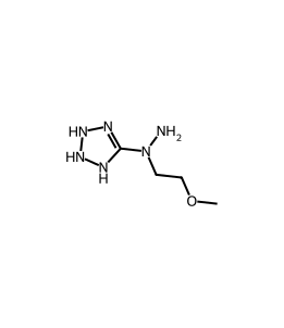 COCCN(N)C1=NNNN1